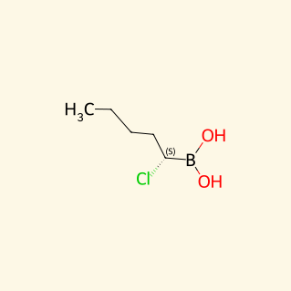 CCCC[C@@H](Cl)B(O)O